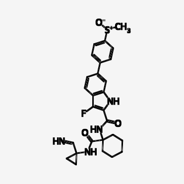 C[S+]([O-])c1ccc(-c2ccc3c(F)c(C(=O)NC4(C(=O)NC5(C=N)CC5)CCCCC4)[nH]c3c2)cc1